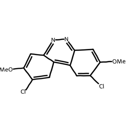 COc1cc2nnc3cc(OC)c(Cl)cc3c2cc1Cl